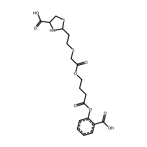 O=C(CSCCC1NC(C(=O)O)CS1)OCCCC(=O)Oc1ccccc1C(=O)O